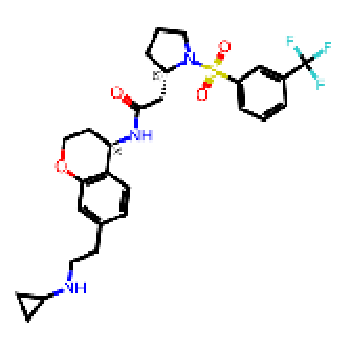 O=C(C[C@@H]1CCCN1S(=O)(=O)c1cccc(C(F)(F)F)c1)N[C@@H]1CCOc2cc(CCNC3CC3)ccc21